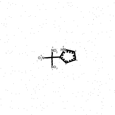 O=[N+]([O-])C(c1ccc[nH]1)([N+](=O)[O-])[N+](=O)[O-]